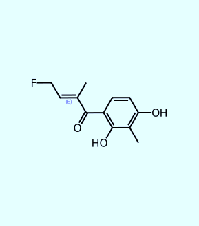 C/C(=C\CF)C(=O)c1ccc(O)c(C)c1O